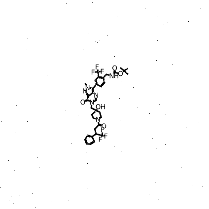 Cn1nc2c(=O)n(CC3(O)CCN(C(=O)CC(c4ccccc4)C(F)(F)F)CC3)cnc2c1-c1ccc(CNC(=O)OC(C)(C)C)c(C(F)(F)F)c1